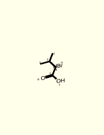 Br.CC(C)CC(=O)O